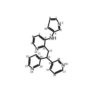 c1cncc(Nc2cccnc2CC(c2cccnc2)c2cccnc2)c1